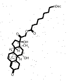 CCCCCCCCCCCCCCCCCC(=O)OCC(=O)[C@@]1(O)CC[C@H]2[C@@H]3CCC4=CC(=O)CC[C@]4(C)[C@H]3[C@@H](O)C[C@@]21C